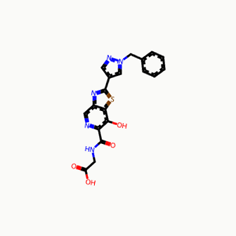 O=C(O)CNC(=O)c1ncc2nc(-c3cnn(Cc4ccccc4)c3)sc2c1O